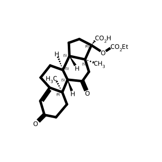 CCOC(=O)O[C@]1(C(=O)O)CC[C@H]2[C@@H]3CCC4=CC(=O)CC[C@]4(C)[C@H]3C(=O)C[C@@]21C